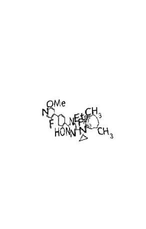 CC[C@]1(C)CCCC(C)C[C@H](N(c2cnc(-c3ccc(-c4cc(OC)ncc4F)cc3O)nn2)C2CC2)[C@@H]1F